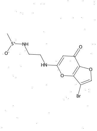 C[S+]([O-])NCCNc1cc(=O)c2occ(Br)c2o1